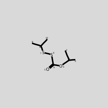 C[C](C)OC(=O)SSC(C)C